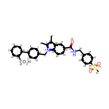 Cc1c(C)n(Cc2ccc(-c3ccccc3C(=O)O)cc2)c2ccc(C(=O)NCc3ccc(S(C)(=O)=O)cc3)cc12